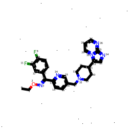 CCO/N=C(\c1ccc(F)c(F)c1)c1ccc(CN2CCC(c3cnc4ncccn34)CC2)cn1